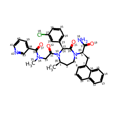 C[C@@H]1CCN([C@H](Cc2cccc3ccccc23)C(N)=O)C(=O)[C@H](c2cccc(Cl)c2)N1C(=O)CN(C)C(=O)c1cccnc1